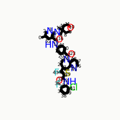 Cc1cnc(N2CC3(CCOCC3)C2)c(C(=O)Nc2ccc(C(=O)N3CCc4c(sc(C(=O)Nc5c(F)cccc5Cl)c4F)-c4ncccc43)cc2)c1